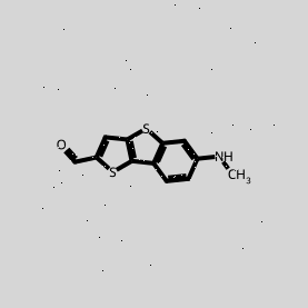 CNc1ccc2c(c1)sc1cc(C=O)sc12